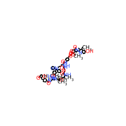 CCc1c2c(nc3ccc(O)cc13)-c1cc3c(c(=O)n1C2)COC(=O)[C@@]3(CC)OC(=O)OCc1ccc(NC(=O)C(CCCCNC(c2ccccc2)(c2ccccc2)c2ccc(OC)cc2)NC(=O)COCC(=O)NC(C)(C)CCOC(C)(C)CCn2cc(CNC(=O)C3CCC(CC4C(=O)C=CC4=O)CC3)nn2)cc1